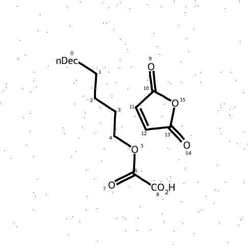 CCCCCCCCCCCCCCOC(=O)C(=O)O.O=C1C=CC(=O)O1